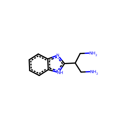 NCC(CN)c1nc2ccccc2[nH]1